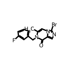 Cc1cn2c(Br)ncc2c(=O)n1Cc1cccc(F)c1